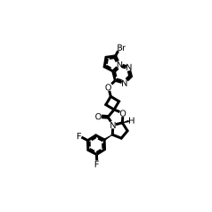 O=C1N2[C@@H](CC[C@H]2c2cc(F)cc(F)c2)OC12CC(Oc1ncnn3c(Br)ccc13)C2